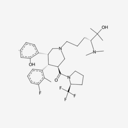 Cc1c(F)cccc1[C@H]1[C@H](C(=O)N2CCC[C@H]2C(F)(F)F)CN(CCC[C@@H](N(C)C)C(C)(C)O)C[C@H]1c1cc[c]cc1O